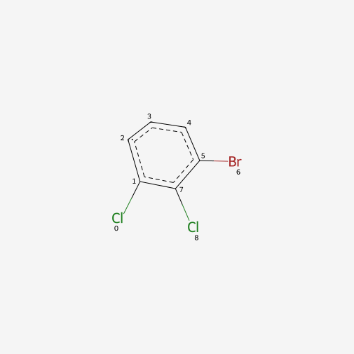 Clc1[c]ccc(Br)c1Cl